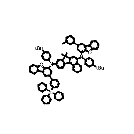 Cc1cccc(-c2cc(N(c3ccc(C(C)(C)C)cc3)c3cc4c(c5ccccc35)-c3ccc(N(c5ccc(C(C)(C)C)cc5)c5cc(-c6cccc([Si](c7ccccc7)(c7ccccc7)c7ccccc7)c6)cc6c5oc5ccccc56)cc3C4(C)C)c3oc4ccccc4c3c2)c1